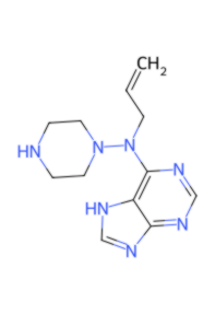 C=CCN(c1ncnc2nc[nH]c12)N1CCNCC1